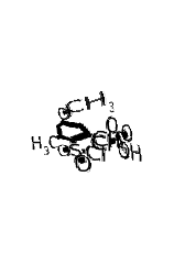 COc1cc(C)c(S(=O)(=O)Cl)c(C)c1.O=S(=O)(O)Cl